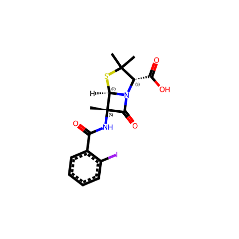 CC1(C)S[C@H]2N(C(=O)[C@]2(C)NC(=O)c2ccccc2I)[C@H]1C(=O)O